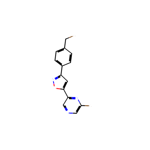 BrCc1ccc(-c2cc(-c3[c]ncc(Br)n3)on2)cc1